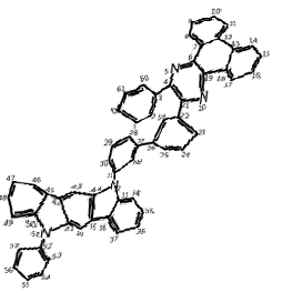 c1ccc(-c2nc3c4ccccc4c4ccccc4c3nc2-c2cccc(-c3cccc(-n4c5ccccc5c5cc6c(cc54)c4ccccc4n6-c4ccccc4)c3)c2)cc1